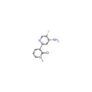 Cn1cccc(-c2cc(N)c(F)cn2)c1=O